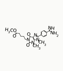 COC(=O)CCCCn1c(=O)c2nc(-c3ccc(C(=N)N)cc3)n(C)c2n(C)c1=O